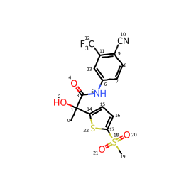 CC(O)(C(=O)Nc1ccc(C#N)c(C(F)(F)F)c1)c1ccc(S(C)(=O)=O)s1